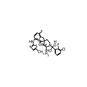 COC(=O)C1(Cc2nc(Nc3ncc(C)s3)ccc2F)CCN(C(O)(O)c2cccc(Cl)c2F)C(C)C1